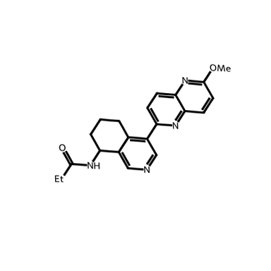 CCC(=O)NC1CCCc2c(-c3ccc4nc(OC)ccc4n3)cncc21